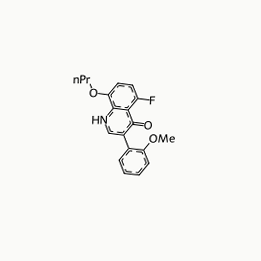 CCCOc1ccc(F)c2c(=O)c(-c3ccccc3OC)c[nH]c12